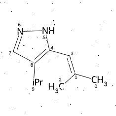 CC(C)=Cc1[nH]ncc1C(C)C